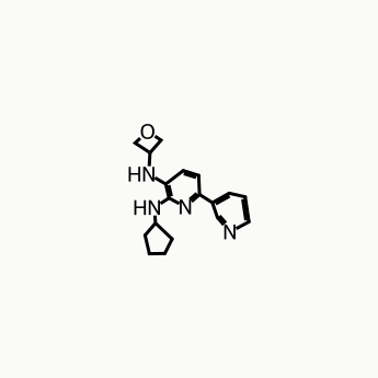 c1cncc(-c2ccc(NC3COC3)c(NC3CCCC3)n2)c1